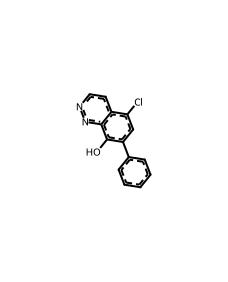 Oc1c(-c2ccccc2)cc(Cl)c2ccnnc12